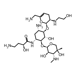 CN[C@@H]1[C@@H](O)[C@@H](O[C@@H]2[C@@H](O)[C@H](O[C@H]3OC(CN)=CC[C@H]3NCCO)[C@@H](N)C[C@H]2NC(=O)[C@@H](O)CCN)OC[C@]1(C)O